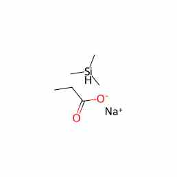 CCC(=O)[O-].C[SiH](C)C.[Na+]